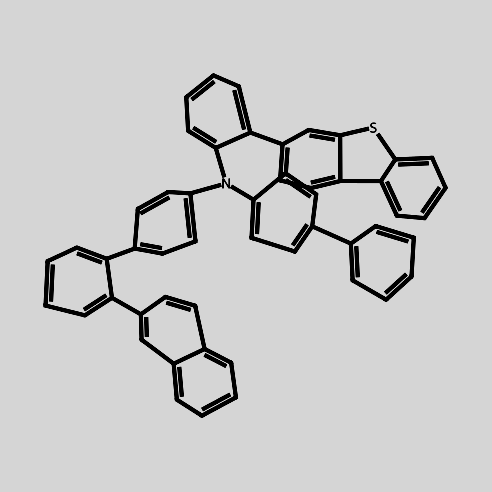 c1ccc(-c2ccc(N(c3ccc(-c4ccccc4-c4ccc5ccccc5c4)cc3)c3ccccc3-c3ccc4c(c3)sc3ccccc34)cc2)cc1